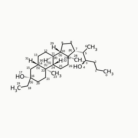 CCCC(O)C(C)[C@H]1CC[C@H]2[C@@H]3CC[C@H]4C[C@](O)(CC)CC[C@]4(C)[C@H]3CC[C@]12C